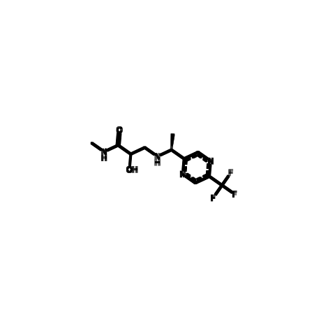 CNC(=O)C(O)CN[C@@H](C)c1cnc(C(F)(F)F)cn1